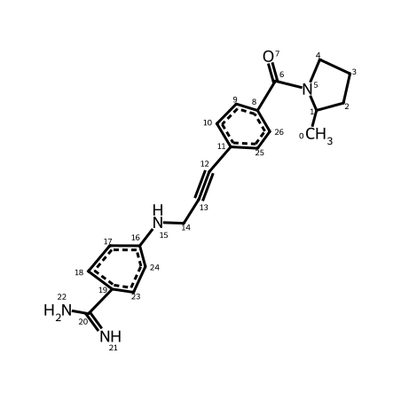 CC1CCCN1C(=O)c1ccc(C#CCNc2ccc(C(=N)N)cc2)cc1